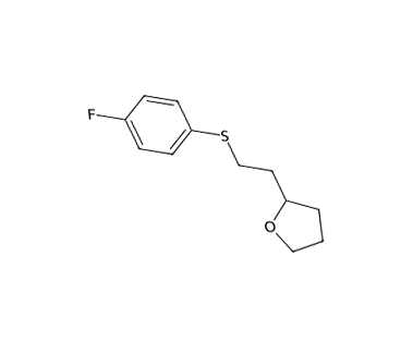 Fc1ccc(SCCC2CCCO2)cc1